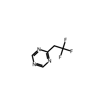 FC(F)(F)Cc1ncncn1